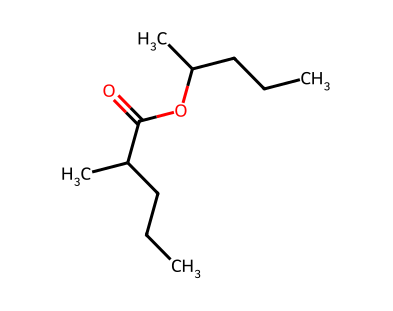 CCCC(C)OC(=O)C(C)CCC